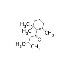 CC1=C(C(=O)CC(C)C)C(C)(C)CCC1